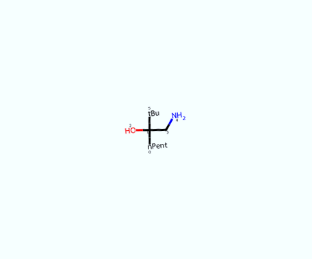 CCCCCC(O)(CN)C(C)(C)C